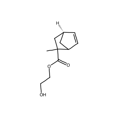 CC1(C(=O)OCCO)C[C@H]2C=CC1C2